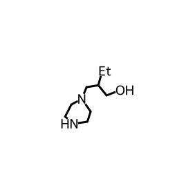 CCC(CO)CN1CCNCC1